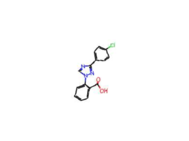 O=C(O)c1ccccc1-n1cnc(-c2ccc(Cl)cc2)n1